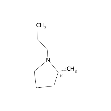 [CH2]CCN1CCC[C@H]1C